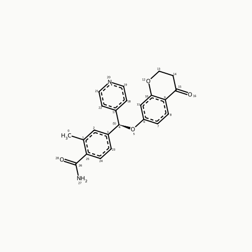 Cc1cc([C@H](Oc2ccc3c(c2)OCCC3=O)c2ccncc2)ccc1C(N)=O